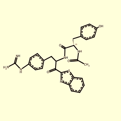 CC(=O)N[C@@H](Cc1ccc(O)cc1)C(=O)NC(Cc1ccc(NC(=N)N)cc1)C(=O)c1nc2ccccc2s1